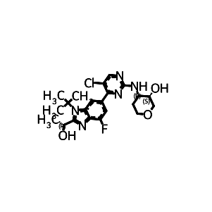 C[C@@H](O)c1nc2c(F)cc(-c3nc(N[C@@H]4CCOC[C@H]4O)ncc3Cl)cc2n1C(C)(C)C